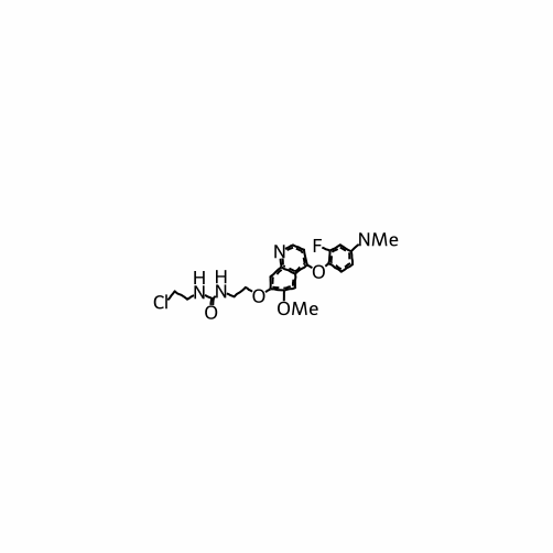 CNc1ccc(Oc2ccnc3cc(OCCNC(=O)NCCCl)c(OC)cc23)c(F)c1